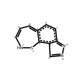 C1=CNSc2c3c(ccc2=C1)=NN=C3